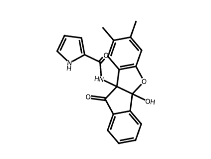 Cc1cc2c(cc1C)C1(NC(=O)c3ccc[nH]3)C(=O)c3ccccc3C1(O)O2